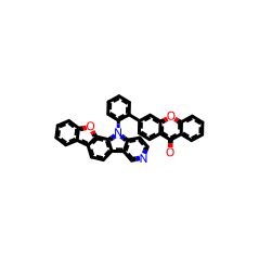 O=c1c2ccccc2oc2cc(-c3ccccc3-n3c4ccncc4c4ccc5c6ccccc6oc5c43)ccc12